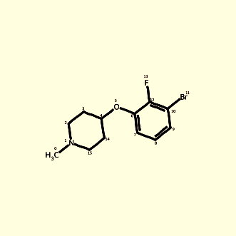 CN1CCC(Oc2cccc(Br)c2F)CC1